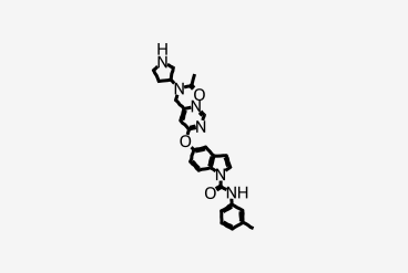 CC(=O)N(Cc1cc(Oc2ccc3c(ccn3C(=O)Nc3cccc(C)c3)c2)ncn1)C1CCNC1